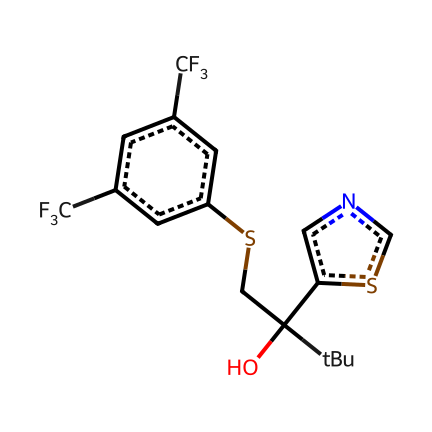 CC(C)(C)C(O)(CSc1cc(C(F)(F)F)cc(C(F)(F)F)c1)c1cncs1